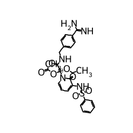 CCO[C@](OC(C)=O)(C(=O)NCc1ccc(C(=N)N)cc1)n1cccc(NS(=O)(=O)c2ccccc2)c1=O